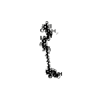 CC(Oc1cc(C(=O)Nc2ccc(C(=O)N3C[C@@H](C)N(C(=O)CCCCCCCCCCCSc4cccc5c4C(=O)N(C4CCC(=O)NC4=O)C5=O)[C@@H](C)C3)cc2)nnc1N)c1c(Cl)ccc(F)c1Cl